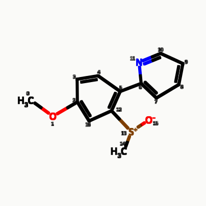 COc1ccc(-c2ccccn2)c([S+](C)[O-])c1